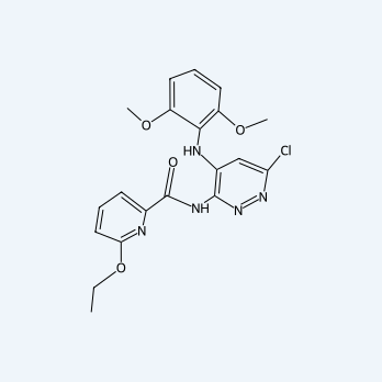 CCOc1cccc(C(=O)Nc2nnc(Cl)cc2Nc2c(OC)cccc2OC)n1